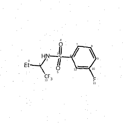 CCC(NS(=O)(=O)c1cccc(F)c1)C(F)(F)F